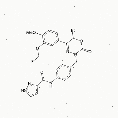 CCC1OC(=O)N(Cc2ccc(NC(=O)c3cc[nH]n3)cc2)N=C1c1ccc(OC)c(OCF)c1